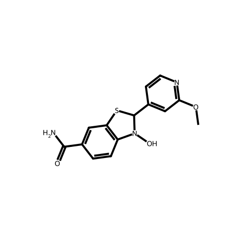 COc1cc(C2Sc3cc(C(N)=O)ccc3N2O)ccn1